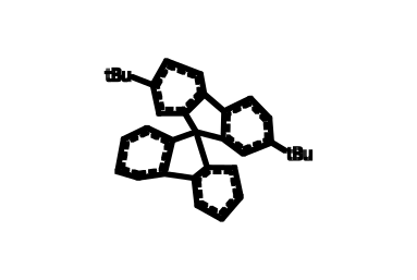 CC(C)(C)c1ccc2c(c1)C1(c3ccccc3-c3ccccc31)c1cc(C(C)(C)C)ccc1-2